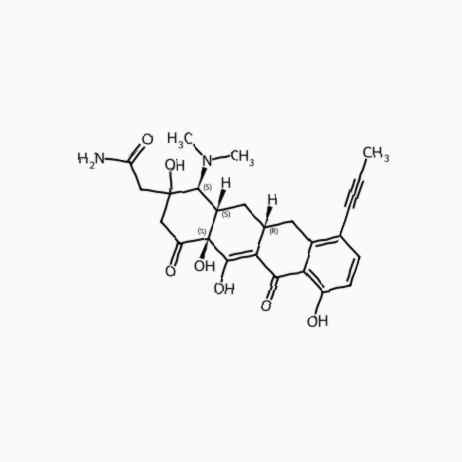 CC#Cc1ccc(O)c2c1C[C@H]1C[C@H]3[C@H](N(C)C)C(O)(CC(N)=O)CC(=O)[C@@]3(O)C(O)=C1C2=O